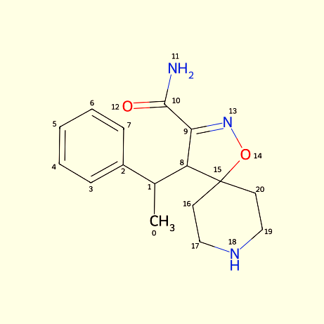 CC(c1ccccc1)C1C(C(N)=O)=NOC12CCNCC2